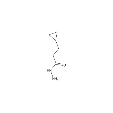 NNC(=O)CCC1CC1